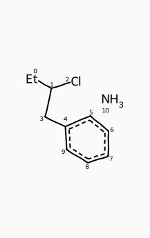 CCC(Cl)Cc1ccccc1.N